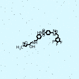 Cc1cc(C(O)CNCCc2ccc(NS(=O)(=O)c3ccc(-c4noc(Cc5cc(F)c(F)c(F)c5)n4)cc3)cc2)on1